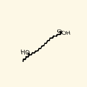 CCCCCC(O)CCCCCCCCCCCCCCCCCCCC(=O)O